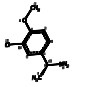 COc1ccc([C@H](C)N)cc1Cl